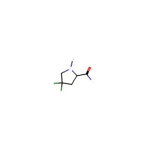 CC(C)N1CC(F)(F)CC1C(N)=O